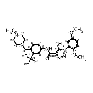 COc1ccc(OC)c(-n2nnc(C(=O)Nc3ccc(CN4CCN(C)CC4)c(C(F)(F)F)c3)c2C)c1